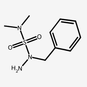 CN(C)S(=O)(=O)N(N)Cc1ccccc1